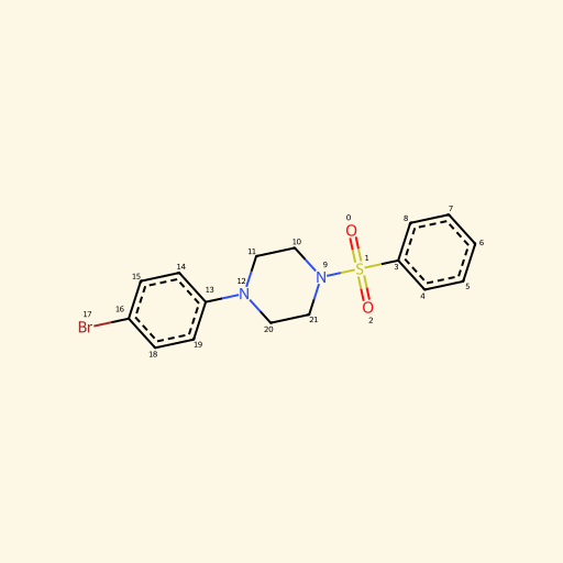 O=S(=O)(c1ccccc1)N1CCN(c2ccc(Br)cc2)CC1